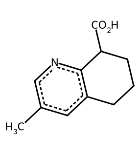 Cc1cnc2c(c1)CCCC2C(=O)O